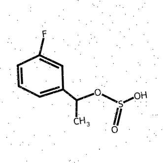 CC(OS(=O)O)c1cccc(F)c1